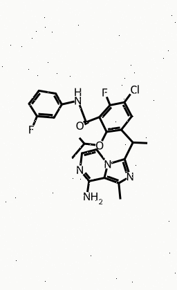 Cc1nc(C(C)c2cc(Cl)c(F)c(C(=O)Nc3cccc(F)c3)c2OC(C)C)n2ccnc(N)c12